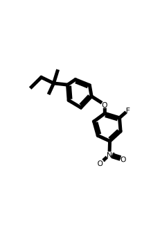 CCC(C)(C)c1ccc(Oc2ccc([N+](=O)[O-])cc2F)cc1